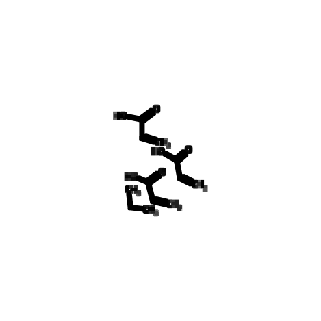 C=CC(=O)O.C=CC(=O)O.C=CC(=O)O.CCC